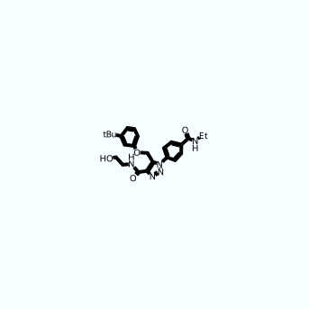 CCNC(=O)c1ccc(-n2nnc(C(=O)NCCO)c2COc2cccc(C(C)(C)C)c2)cc1